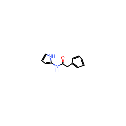 O=C(Cc1ccccc1)Nc1ccc[nH]1